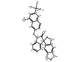 O=C1N(Cc2ccc3nc(C(F)(F)F)cc(Cl)c3c2)c2ccccc2C12COc1cc3c(cc12)OCO3